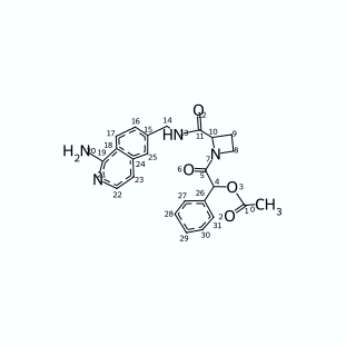 CC(=O)OC(C(=O)N1CCC1C(=O)NCc1ccc2c(N)nccc2c1)c1ccccc1